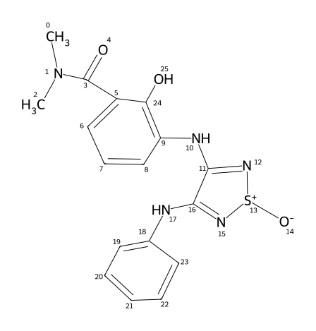 CN(C)C(=O)c1cccc(Nc2n[s+]([O-])nc2Nc2ccccc2)c1O